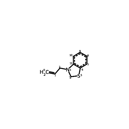 C=CCN1[CH]Sc2ccccc21